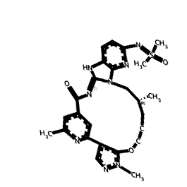 Cc1cc2cc(n1)-c1cnn(C)c1OCCC[C@@H](C)CN1/C(=N/C2=O)Nc2ccc(N=S(C)(C)=O)nc21